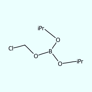 CC(C)OB(OCCl)OC(C)C